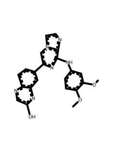 COc1ccc(Nc2nc(-c3ccc4ncc(O)nc4c3)cn3ccnc23)cc1OC